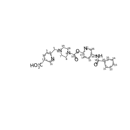 O=C(O)c1ccc(CN2CCN(C(=O)Oc3ccc(NC(=O)c4ccccc4)cn3)CC2)nc1